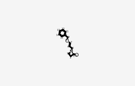 O=C1CCN1CC=COCc1ccccc1